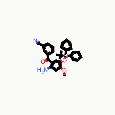 COc1cc(N)c(C(=O)c2cccc(C#N)c2)cc1O[Si](c1ccccc1)(c1ccccc1)C(C)(C)C